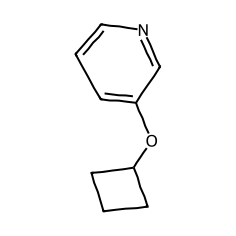 c1cncc(OC2CCC2)c1